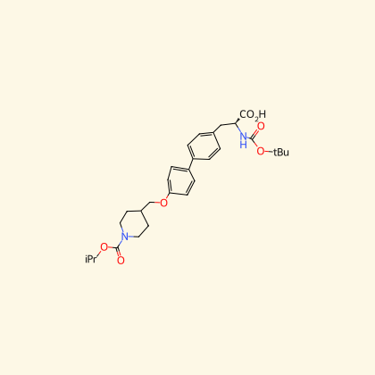 CC(C)OC(=O)N1CCC(COc2ccc(-c3ccc(C[C@H](NC(=O)OC(C)(C)C)C(=O)O)cc3)cc2)CC1